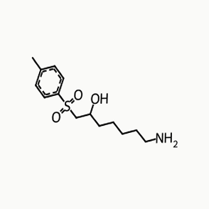 Cc1ccc(S(=O)(=O)CC(O)CCCCCN)cc1